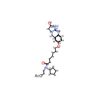 CC(=O)OCCN(C(=O)CCCCCCOc1ccc2c(c1)CN1CC(=O)NC1=N2)C1CCCC1